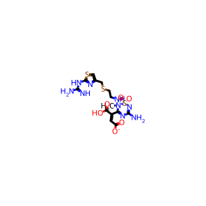 C[N+]1(NCCSCc2csc(NC(=N)N)n2)C(/C(=C\C(=O)[O-])C(=O)O)=NC(N)=NS1(=O)=O